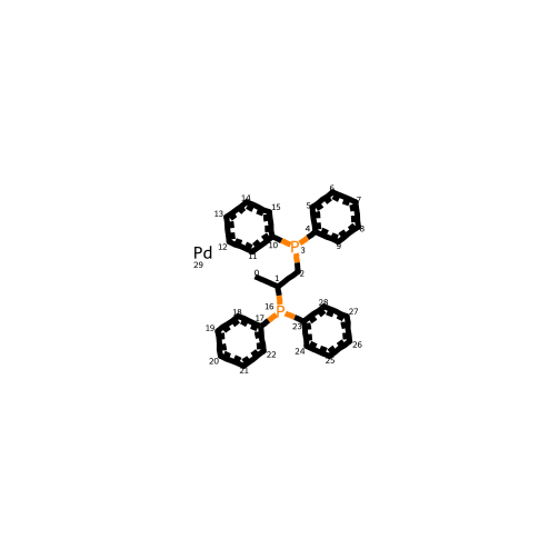 CC(CP(c1ccccc1)c1ccccc1)P(c1ccccc1)c1ccccc1.[Pd]